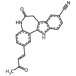 CC(=O)C=Cc1ccc2c(c1)-c1[nH]c3ccc(C#N)cc3c1CC(=O)N2